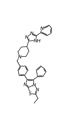 CCc1nn2c(-c3ccccc3)c(-c3ccc(CN4CCC(c5nnc(-c6ccccn6)[nH]5)CC4)cc3)nc2s1